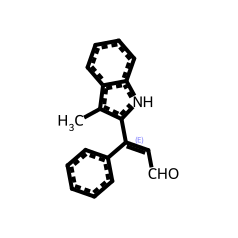 Cc1c(/C(=C/C=O)c2ccccc2)[nH]c2ccccc12